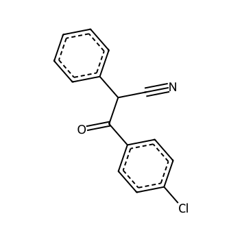 N#CC(C(=O)c1ccc(Cl)cc1)c1ccccc1